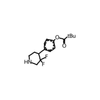 CC(C)(C)C(=O)Oc1ccc(C2CCNCC2(F)F)cc1